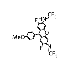 COc1ccc(-c2c3cc(F)/c(=N\CC(F)(F)F)cc-3oc3cc(NCC(F)(F)F)c(F)cc23)cc1